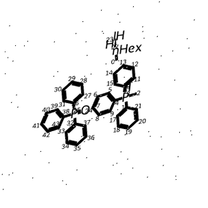 CCCCCCC.C[PH](c1ccccc1)(c1ccccc1)c1ccccc1.I.I.O=P(c1ccccc1)(c1ccccc1)c1ccccc1